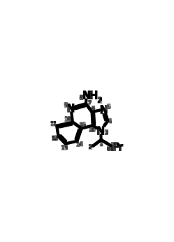 CC(C)C(C)n1cnc2c(N)nc3ccccc3c21